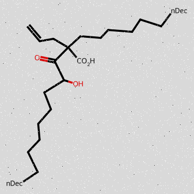 C=CCC(CCCCCCCCCCCCCCCC)(C(=O)O)C(=O)C(O)CCCCCCCCCCCCCCCC